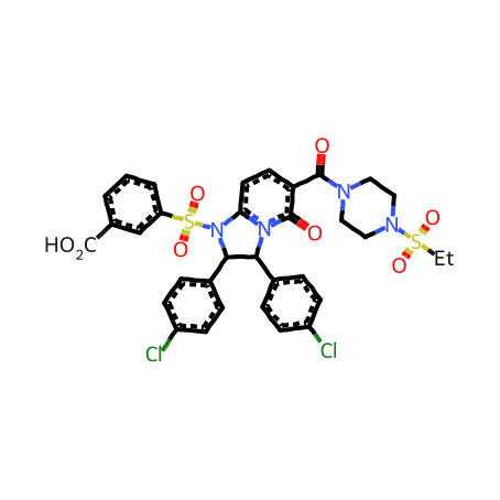 CCS(=O)(=O)N1CCN(C(=O)c2ccc3n(c2=O)C(c2ccc(Cl)cc2)C(c2ccc(Cl)cc2)N3S(=O)(=O)c2cccc(C(=O)O)c2)CC1